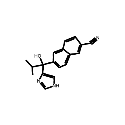 CC(C)C(O)(c1ccc2cc(C#N)ccc2c1)c1c[nH]cn1